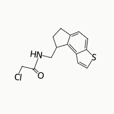 O=C(CCl)NCC1CCc2ccc3sccc3c21